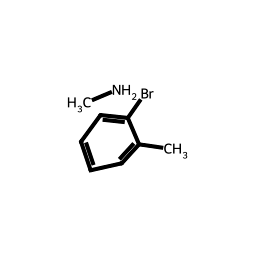 CN.Cc1ccccc1Br